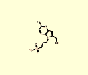 CS(=O)(=O)CCCn1c(CO)cc2nc(Cl)ccc21